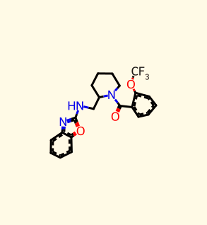 O=C(c1ccccc1OC(F)(F)F)N1CCCCC1CNc1nc2ccccc2o1